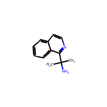 CC(C)(N)c1nccc2ccccc12